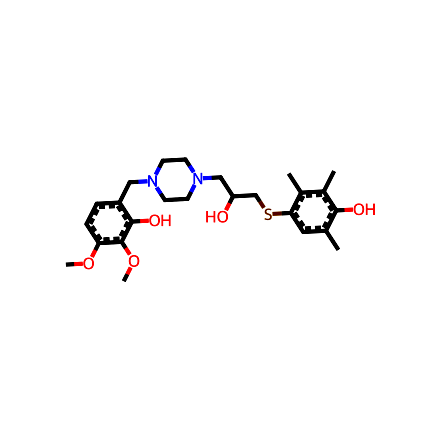 COc1ccc(CN2CCN(CC(O)CSc3cc(C)c(O)c(C)c3C)CC2)c(O)c1OC